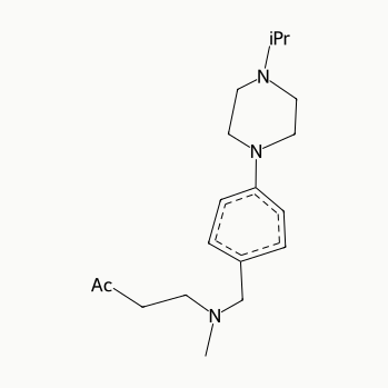 CC(=O)CCN(C)Cc1ccc(N2CCN(C(C)C)CC2)cc1